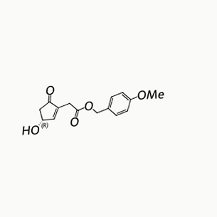 COc1ccc(COC(=O)CC2=C[C@H](O)CC2=O)cc1